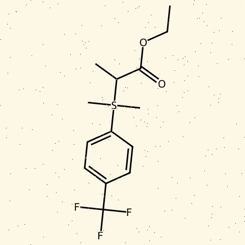 CCOC(=O)C(C)S(C)(C)c1ccc(C(F)(F)F)cc1